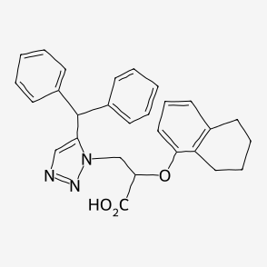 O=C(O)C(Cn1nncc1C(c1ccccc1)c1ccccc1)Oc1cccc2c1CCCC2